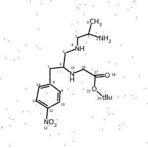 CC(N)CNCC(Cc1ccc([N+](=O)[O-])cc1)NCC(=O)OC(C)(C)C